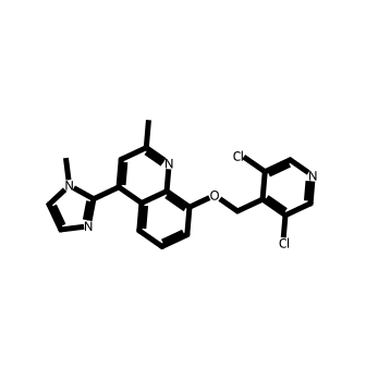 Cc1cc(-c2nccn2C)c2cccc(OCc3c(Cl)cncc3Cl)c2n1